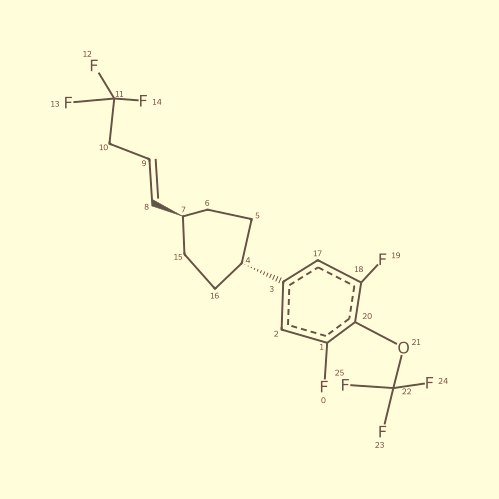 Fc1cc([C@H]2CC[C@H](C=CCC(F)(F)F)CC2)cc(F)c1OC(F)(F)F